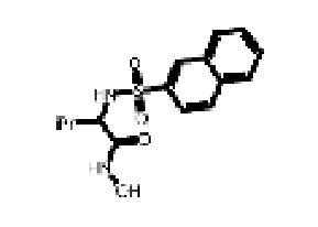 CC(C)C(NS(=O)(=O)c1ccc2ccccc2c1)C(=O)NO